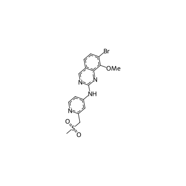 COc1c(Br)ccc2cnc(Nc3ccnc(CS(C)(=O)=O)c3)nc12